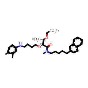 CCOC(=O)CO[C@@H](C(=O)O)[C@@H](OCCCCNc1ccc(C)c(C)c1)C(=O)N(C)CCCCCc1ccc2ccccc2c1